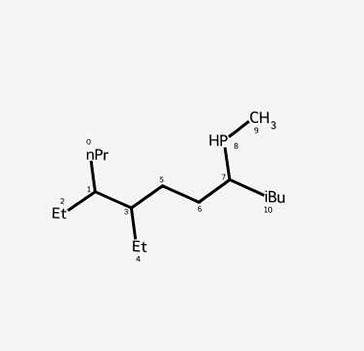 CCCC(CC)C(CC)CCC(PC)C(C)CC